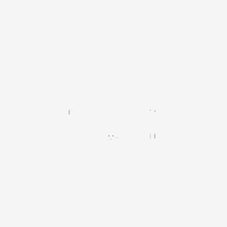 COC(C)(OC)c1cc(C(C)(C)C)ccc1Cl